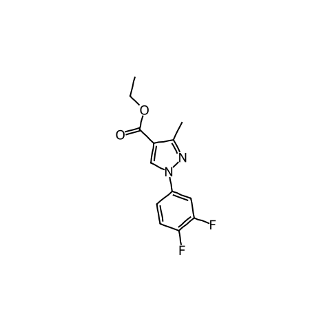 CCOC(=O)c1cn(-c2ccc(F)c(F)c2)nc1C